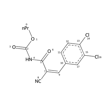 CCCOC(=O)NC(=O)C(C#N)=Cc1ccc(Cl)c(Cl)c1